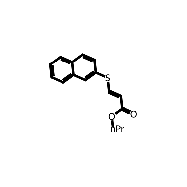 CCCOC(=O)C=CSc1ccc2ccccc2c1